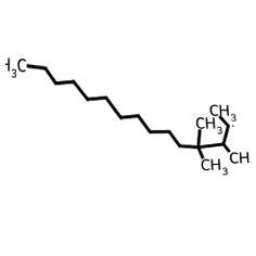 C[CH]C(C)C(C)(C)CCCCCCCCCCC